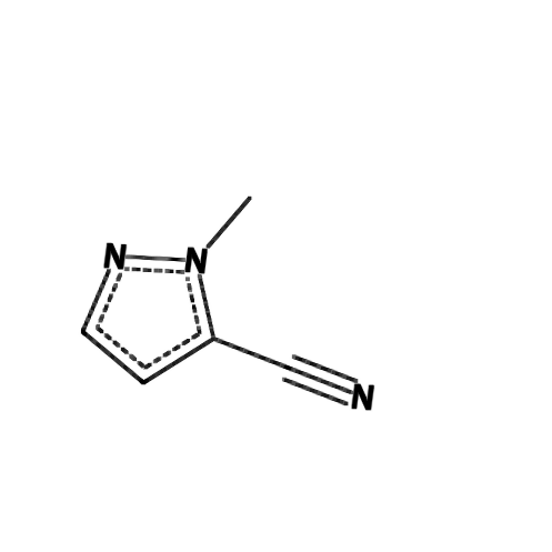 Cn1nccc1C#N